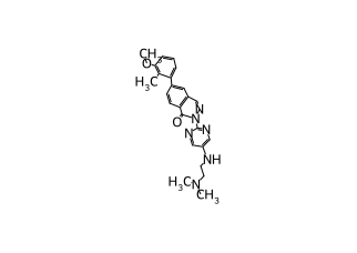 COc1cccc(-c2ccc3c(=O)n(-c4ncc(NCCN(C)C)cn4)ncc3c2)c1C